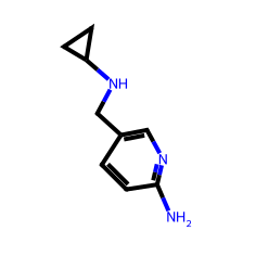 Nc1ccc(CNC2CC2)cn1